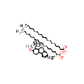 CCCCCCCCCCCCCCCCCC(=O)[O-].CCCCCCCCCCCCCCCCCC(=O)[O-].C[Si](C)(C)C1C(=O)CCC2c3ccccc3CCC21.[Mg+2]